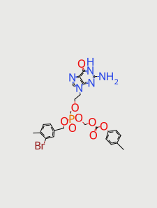 Cc1ccc(OC(=O)OCOP(=O)(COCCn2cnc3c(=O)[nH]c(N)nc32)OCc2ccc(C)c(Br)c2)cc1